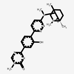 CN(c1ccc(-c2ccc(-c3ncn(C)c(=O)n3)cc2O)nn1)C1C(F)[C@@]2(C)CCC1(C)CN2C